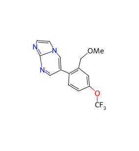 COCc1cc(OC(F)(F)F)ccc1-c1cnc2nccn2c1